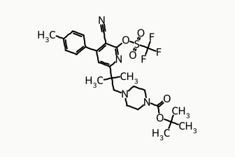 Cc1ccc(-c2cc(C(C)(C)CN3CCN(C(=O)OC(C)(C)C)CC3)nc(OS(=O)(=O)C(F)(F)F)c2C#N)cc1